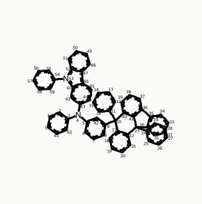 c1ccc(N(c2cccc(C3(c4ccccc4)c4ccccc4C4(c5ccccc5)c5ccccc5-c5cccc3c54)c2)c2ccc3c4ccccc4n(-c4ccccc4)c3c2)cc1